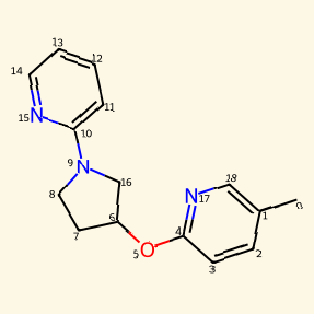 Cc1ccc(OC2CCN(c3ccccn3)C2)nc1